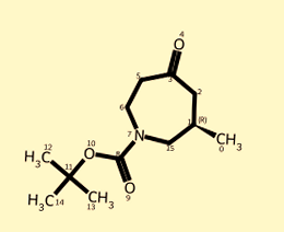 C[C@@H]1CC(=O)CCN(C(=O)OC(C)(C)C)C1